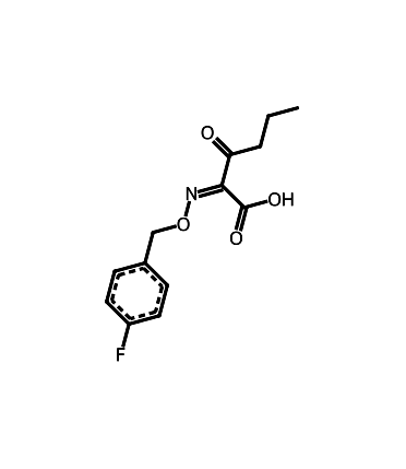 CCCC(=O)C(=NOCc1ccc(F)cc1)C(=O)O